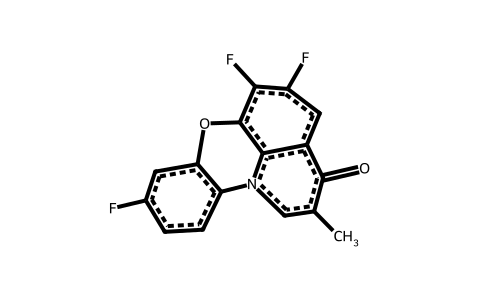 Cc1cn2c3c(c(F)c(F)cc3c1=O)Oc1cc(F)ccc1-2